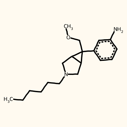 CCCCCCN1CC2C(C1)C2(COC)c1cccc(N)c1